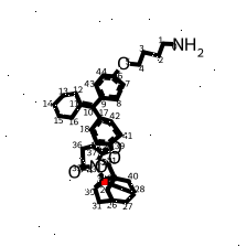 NCCCCOc1ccc(C(=C2CCCCC2)c2ccc(OC(=O)C34CC5CC(CC(C5)C3N3C(=O)CCC3=O)C4)cc2)cc1